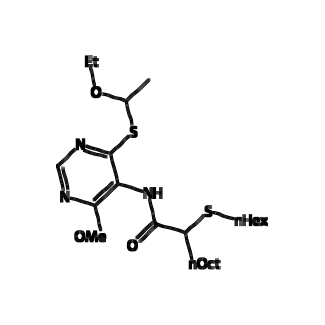 CCCCCCCCC(SCCCCCC)C(=O)Nc1c(OC)ncnc1SC(C)OCC